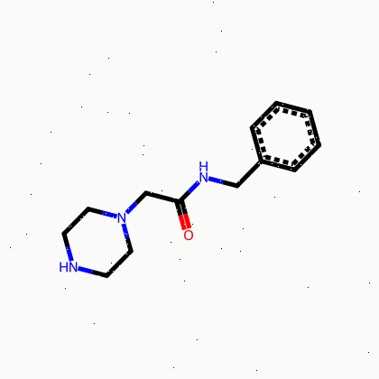 O=C(CN1CCNCC1)NCc1ccccc1